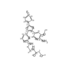 COCC(=O)NC(C)CNc1nccc(-c2oc(-c3ccc(F)cc3)nc2-c2cnc(N)c(OC)c2)n1